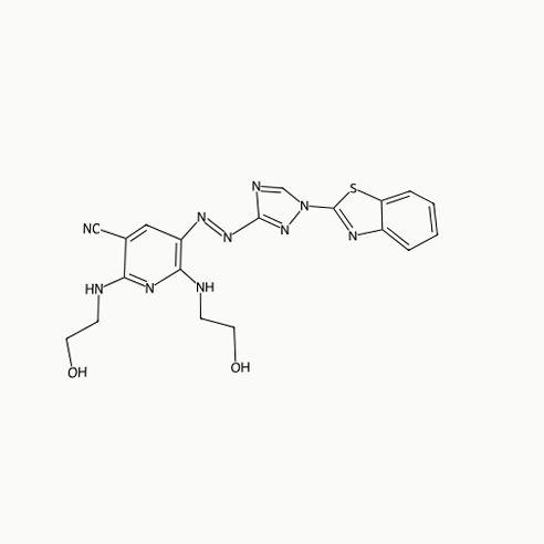 N#Cc1cc(/N=N/c2ncn(-c3nc4ccccc4s3)n2)c(NCCO)nc1NCCO